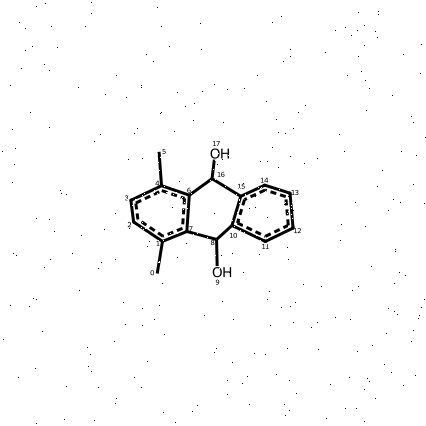 Cc1ccc(C)c2c1C(O)c1ccccc1C2O